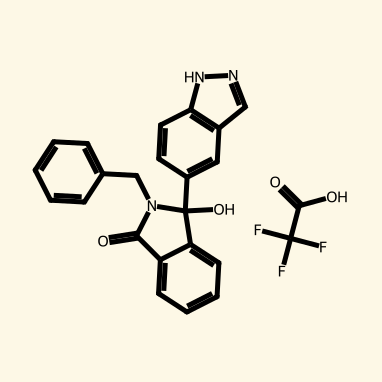 O=C(O)C(F)(F)F.O=C1c2ccccc2C(O)(c2ccc3[nH]ncc3c2)N1Cc1ccccc1